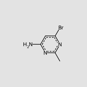 Cc1nc(N)cc(Br)n1